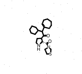 O=C(C(C1=CCCCCC1)C1CCCCC1)C1CCN[C@H]1C(=O)N1CCSC1